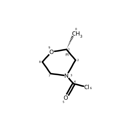 C[C@@H]1CN(C(=O)Cl)CCO1